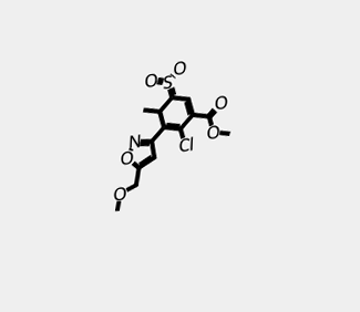 COCc1cc(C2=C(Cl)C(C(=O)OC)=CC(=S(=O)=O)C2C)no1